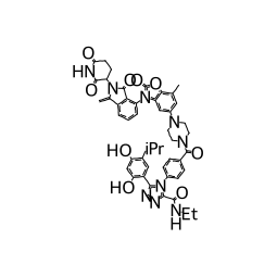 C=C1c2cccc(-n3c(=O)oc4c(C)cc(N5CCN(C(=O)c6ccc(-n7c(C(=O)NCC)nnc7-c7cc(C(C)C)c(O)cc7O)cc6)CC5)cc43)c2C(=O)N1C1CCC(=O)NC1=O